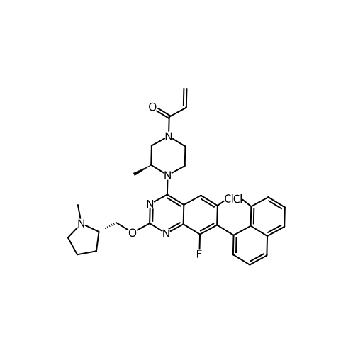 C=CC(=O)N1CCN(c2nc(OC[C@@H]3CCCN3C)nc3c(F)c(-c4cccc5cccc(Cl)c45)c(Cl)cc23)[C@@H](C)C1